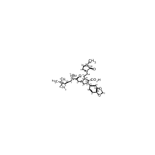 CCCCN(CCC[N+](C)(C)C)C(=O)CN1C[C@H](c2ccc3c(c2)OCO3)[C@@H](C(=O)O)[C@@H]1CCN1CCN(C)C1=O